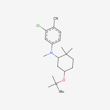 CN(c1ccc(C#N)c(Cl)c1)C1CC(O[Si](C)(C)C(C)(C)C)CCC1(C)C